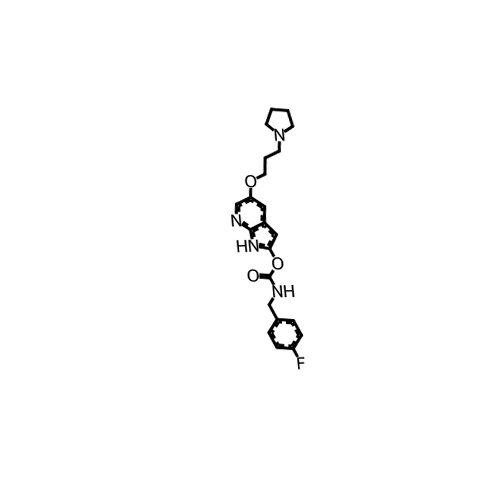 O=C(NCc1ccc(F)cc1)Oc1cc2cc(OCCCN3CCCC3)cnc2[nH]1